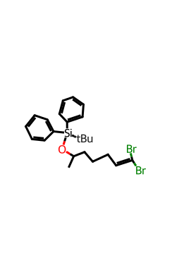 CC(CCCC=C(Br)Br)O[Si](c1ccccc1)(c1ccccc1)C(C)(C)C